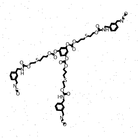 O=C=NCc1cccc(CNC(=O)OCCSCCCOC(=O)Oc2cc(OC(=O)OCCCSCCOC(=O)NCc3cccc(CN=C=O)c3)cc(OC(=O)OCCCSCCOC(=O)NCc3cccc(CN=C=O)c3)c2)c1